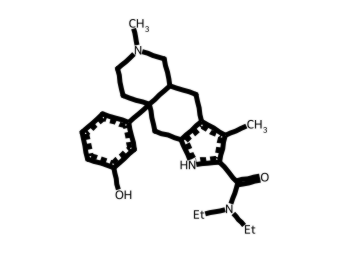 CCN(CC)C(=O)c1[nH]c2c(c1C)CC1CN(C)CCC1(c1cccc(O)c1)C2